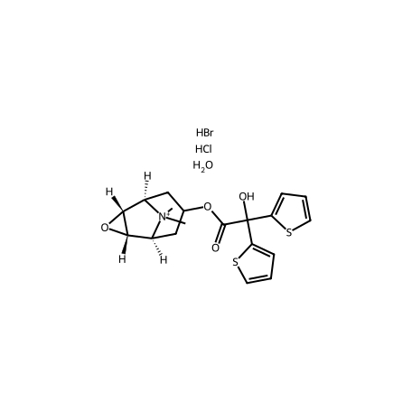 Br.C[N+]1(C)[C@@H]2CC(OC(=O)C(O)(c3cccs3)c3cccs3)C[C@H]1[C@@H]1O[C@@H]12.Cl.O